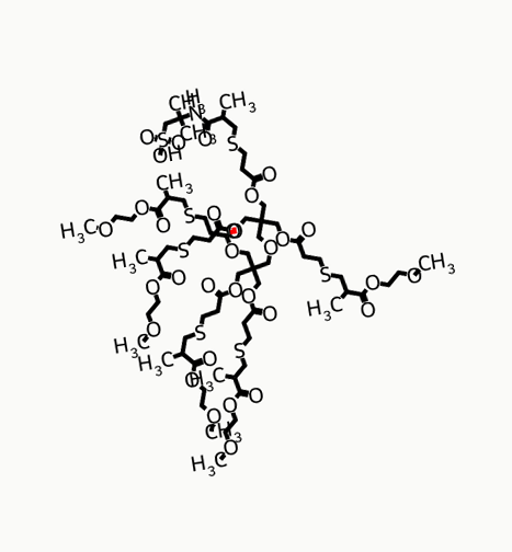 COCCOC(=O)C(C)CSCCC(=O)OCC(COCC(COC(=O)CCSCC(C)C(=O)OCCOC)(COC(=O)CCSCC(C)C(=O)OCCOC)COC(=O)CCSCC(C)C(=O)OCCOC)(COC(=O)CCSCC(C)C(=O)NC(C)(C)CS(=O)(=O)O)COC(=O)CCSCC(C)C(=O)OCCOC